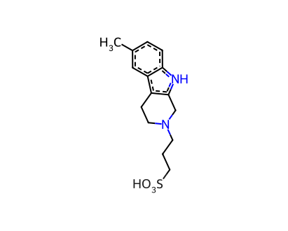 Cc1ccc2[nH]c3c(c2c1)CCN(CCCS(=O)(=O)O)C3